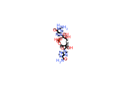 NC(=O)c1ncnc2c1ncn2[C@@H]1O[C@@H]2COP(=O)(O)O[C@@H]([C@@H](O)n3cnc4c(=O)[nH]c(N)nc43)C(O)CCC[C@H]2[C@H]1O